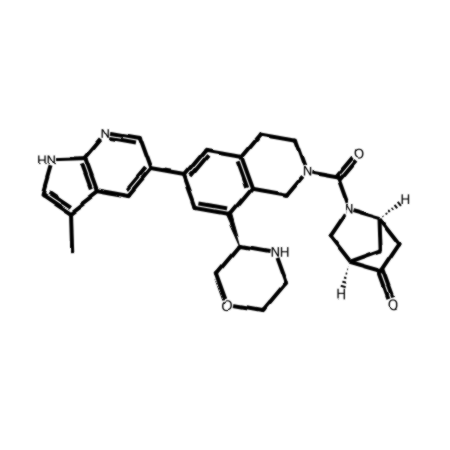 Cc1c[nH]c2ncc(-c3cc4c(c([C@@H]5COCCN5)c3)CN(C(=O)N3C[C@H]5C[C@@H]3CC5=O)CC4)cc12